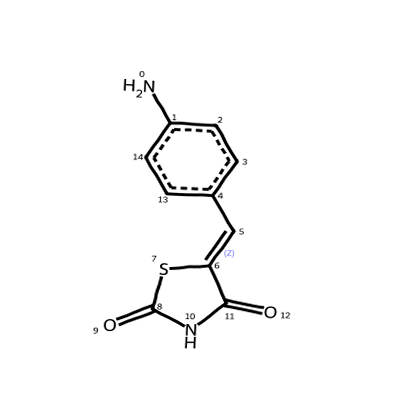 Nc1ccc(/C=C2\SC(=O)NC2=O)cc1